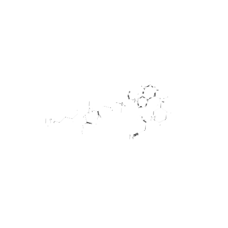 COC(=O)[C@H](CCCCN)NC(=O)CCCNC(=O)n1ccc2c(N(C)C3CN(C(=O)CC#N)CC[C@H]3C)ncnc21